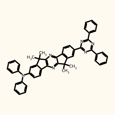 CC1(C)c2cc(-c3nc(-c4ccccc4)nc(-c4ccccc4)n3)ccc2-c2nc3c(nc21)-c1ccc(N(c2ccccc2)c2ccccc2)cc1C3(C)C